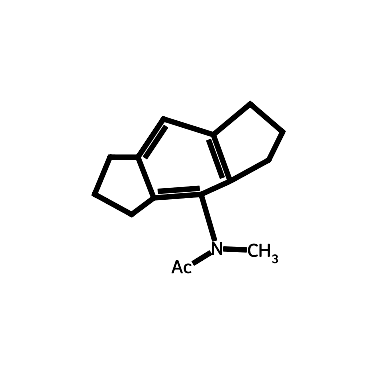 CC(=O)N(C)c1c2c(cc3c1CCC3)CCC2